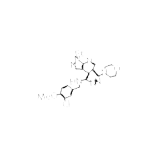 CCn1ncc2c3c(NCc4ccc(OC)c(Cl)c4)nnc(N4CCOCC4)c3cnc21